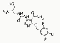 CC(CO)CNC(=O)Nc1snc(OCc2cc(F)c(Cl)cc2F)c1C(N)=O